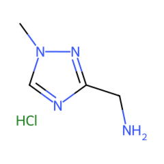 Cl.Cn1cnc(CN)n1